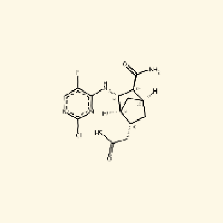 NC(=O)[C@H]1[C@H]2C[C@H](CC(=O)S)[C@H](C2)[C@@H]1Nc1nc(Cl)ncc1F